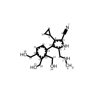 CNCc1[nH]c(C#N)c(C2CC2)c1-c1ccc(CO)c(CO)c1CO